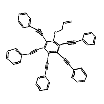 C=CCOc1c(C#Cc2ccccc2)c(C#Cc2ccccc2)c(C#Cc2ccccc2)c(C#Cc2ccccc2)c1C#Cc1ccccc1